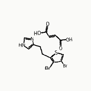 Brc1csc(CCc2c[nH]cn2)c1Br.O=C(O)C=CC(=O)O